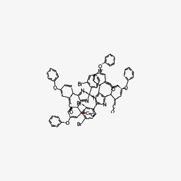 O=C=C1C=C(Oc2ccccc2)C=CC1C1=NC(c2ccc(Br)cc2Br)(n2c(-c3ccc(Br)cc3Br)nc(C3C=CC(Oc4ccccc4)=CC3=C=O)c2C2C=CC(Oc3ccccc3)=CC2=C=O)N=C1C1C=CC(Oc2ccccc2)=CC1=C=O